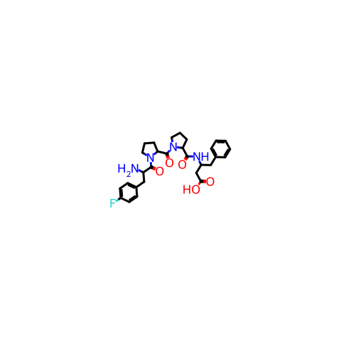 NC(Cc1ccc(F)cc1)C(=O)N1CCCC1C(=O)N1CCCC1C(=O)NC(CC(=O)O)Cc1ccccc1